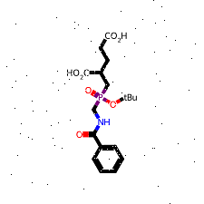 CC(C)(C)OP(=O)(CNC(=O)c1ccccc1)CC(CCC(=O)O)C(=O)O